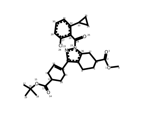 COC(=O)C1CCc2c(C3=CCC(C(=O)OC(C)(C)C)CC3)nn(C(=O)c3c(Cl)cccc3C3CC3)c2C1